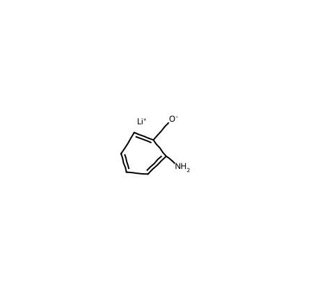 Nc1ccccc1[O-].[Li+]